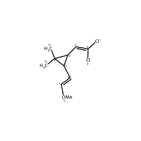 CO/C=C/C1C(C=C(Cl)Cl)C1(C)C